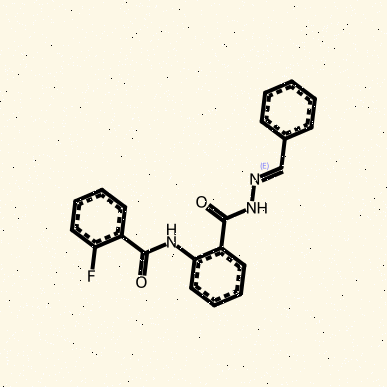 O=C(Nc1ccccc1C(=O)N/N=C/c1ccccc1)c1ccccc1F